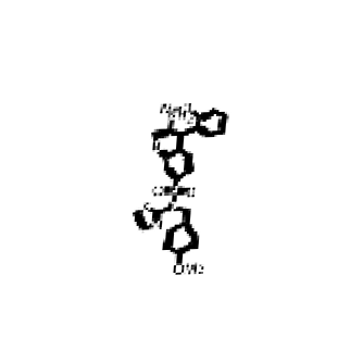 COc1ccc(CN(c2nccs2)S(=O)(=O)c2ccc3c(-c4ccccc4OC)c(N)cnc3c2)cc1